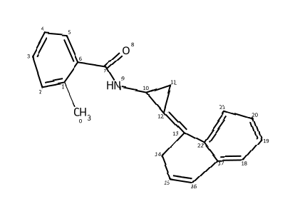 Cc1ccccc1C(=O)NC1CC1=C1CC=Cc2ccccc21